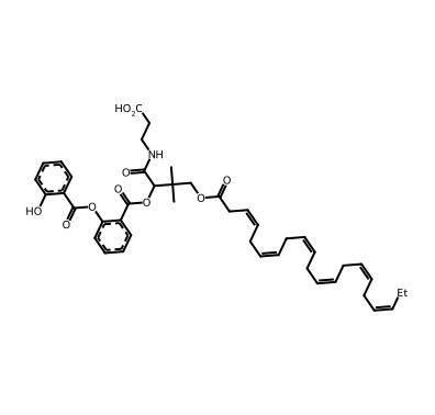 CC/C=C\C/C=C\C/C=C\C/C=C\C/C=C\C/C=C\CC(=O)OCC(C)(C)C(OC(=O)c1ccccc1OC(=O)c1ccccc1O)C(=O)NCCC(=O)O